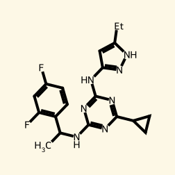 CCc1cc(Nc2nc(NC(C)c3ccc(F)cc3F)nc(C3CC3)n2)n[nH]1